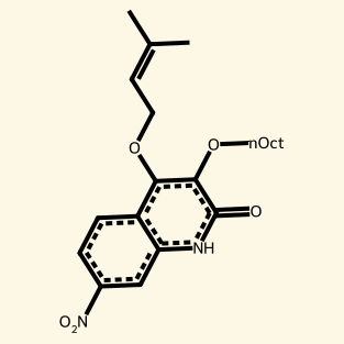 CCCCCCCCOc1c(OCC=C(C)C)c2ccc([N+](=O)[O-])cc2[nH]c1=O